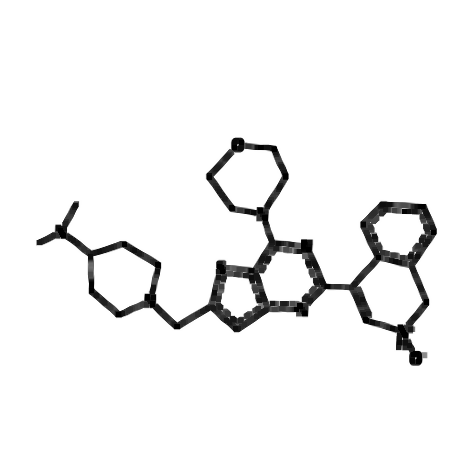 CN(C)C1CCN(Cc2cc3nc(C4=C[NH+]([O-])Cc5ccccc54)nc(N4CCOCC4)c3s2)CC1